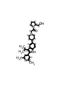 Cc1cc(-c2[nH]c3ccc(C4CCN(CC(=O)N5CCCC5CO)CC4)cc3c2C(C)C)cc(C)n1